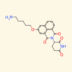 NCCCCCOc1cc2c3c(cccc3c1)C(=O)N(C1CCC(=O)NC1=O)C2=O